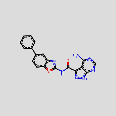 Nc1ncnc2[nH]nc(C(=O)Nc3nc4cc(-c5ccccc5)ccc4o3)c12